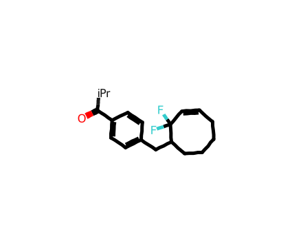 CC(C)C(=O)c1ccc(CC2CCCC/C=C\C2(F)F)cc1